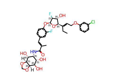 CCC(=CCOc1cccc(Cl)c1)[C@H]1O[C@@H](Oc2ccc(C=C(C)C(=O)N[C@@H]3[C@H](O)[C@@H](O)[C@H]4OCO[C@H]4[C@@H]3O)cc2F)[C@@H](F)[C@@H]1O